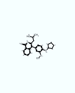 CCOc1cc(-c2c(CC(C)O)oc(=O)c3ccccc23)ccc1OC1CCCC1